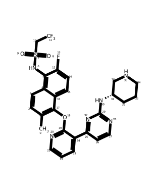 Cc1ccc2c(NS(=O)(=O)CC(F)(F)F)c(F)ccc2c1Oc1ncccc1-c1ccnc(N[C@H]2CCCNC2)n1